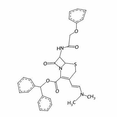 CN(C)/C=C/C1=C(C(=O)OC(c2ccccc2)c2ccccc2)N2C(=O)C(NC(=O)COc3ccccc3)C2SC1